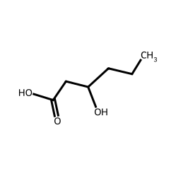 CCCC(O)CC(=O)O